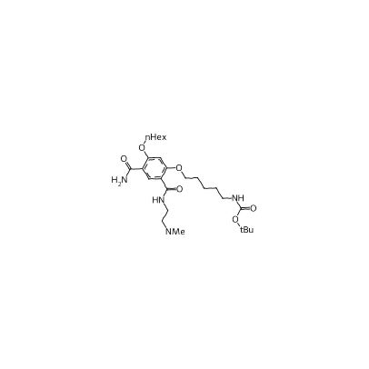 CCCCCCOc1cc(OCCCCCNC(=O)OC(C)(C)C)c(C(=O)NCCNC)cc1C(N)=O